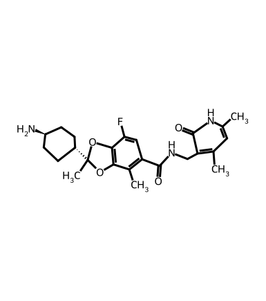 Cc1cc(C)c(CNC(=O)c2cc(F)c3c(c2C)OC(C)([C@H]2CC[C@H](N)CC2)O3)c(=O)[nH]1